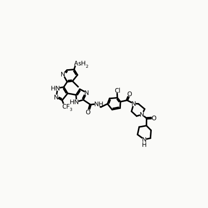 Cc1cc([AsH2])cnc1-c1[nH]nc(C(F)(F)F)c1-c1cnc(C(=O)NCc2ccc(C(=O)N3CCN(C(=O)C4CCNCC4)CC3)c(Cl)c2)[nH]1